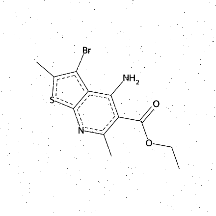 CCOC(=O)c1c(C)nc2sc(C)c(Br)c2c1N